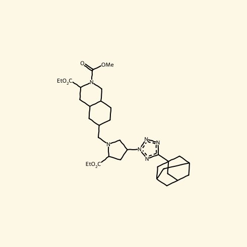 CCOC(=O)C1CC(n2nnc(C34CC5CC(CC(C5)C3)C4)n2)CN1CC1CCC2CN(C(=O)OC)C(C(=O)OCC)CC2C1